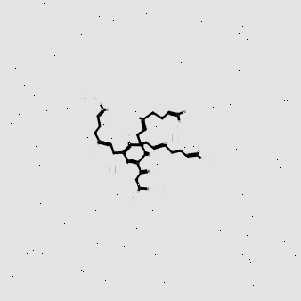 CC(C)=CCC/C(C)=C/CC1=C(O)C(C/C=C(\C)CCC=C(C)C)(C/C=C(\C)CCC=C(C)C)C(=O)C(C(=O)CC(C)C)=C1O